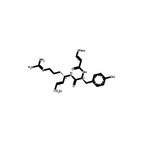 CCCCC/C=C/C(=O)N[C@@H](Cc1ccc(O)cc1)C(=O)N[C@H](/C=C/C(=O)OCC)CCCN=C(N)N